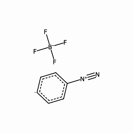 F[B-](F)(F)F.N#[N+]c1cc[c]cc1